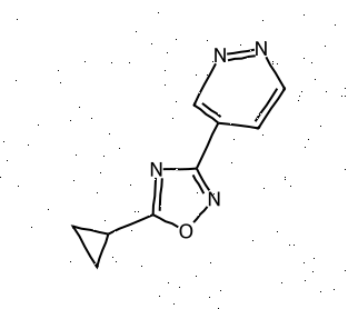 c1cc(-c2noc(C3CC3)n2)cnn1